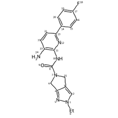 CCn1cc2c(n1)CN(C(=O)Nc1nc(-c3ccc(F)cc3)ccc1N)C2